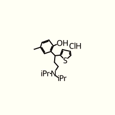 Cc1ccc(O)c(C(CCN(C(C)C)C(C)C)c2cccs2)c1.Cl